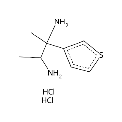 CC(N)C(C)(N)c1ccsc1.Cl.Cl